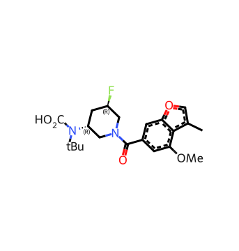 COc1cc(C(=O)N2C[C@H](F)C[C@@H](N(C(=O)O)C(C)(C)C)C2)cc2occ(C)c12